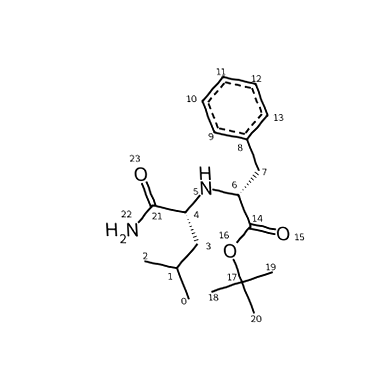 CC(C)C[C@@H](N[C@H](Cc1ccccc1)C(=O)OC(C)(C)C)C(N)=O